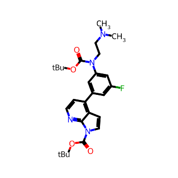 CN(C)CCN(C(=O)OC(C)(C)C)c1cc(F)cc(-c2ccnc3c2ccn3C(=O)OC(C)(C)C)c1